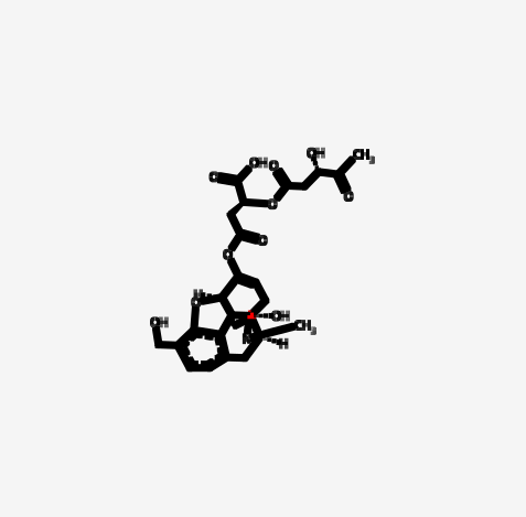 CC(=O)[C@@H](O)CC(=O)O[C@@H](CC(=O)OC1=CC[C@@]2(O)[C@H]3Cc4ccc(CO)c5c4[C@@]2(CCN3C)[C@H]1O5)C(=O)O